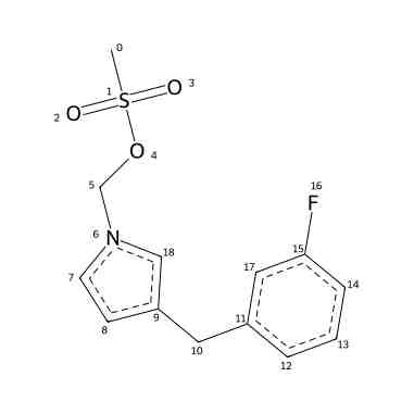 CS(=O)(=O)OCn1ccc(Cc2cccc(F)c2)c1